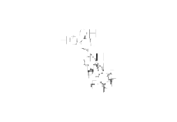 Oc1ccc(-c2ccnc(Nc3c(F)c(F)c(F)c(F)c3F)n2)cc1O